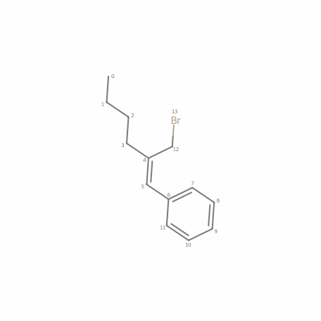 CCCCC(=Cc1ccccc1)CBr